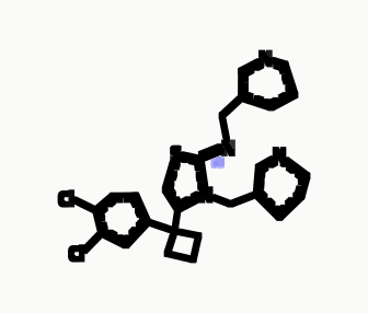 Clc1ccc(C2(c3cs/c(=N\Cc4cccnc4)n3Cc3cccnc3)CCC2)cc1Cl